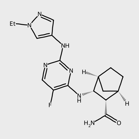 CCn1cc(Nc2ncc(F)c(N[C@@H]3[C@H]4CC[C@H](C4)[C@@H]3C(N)=O)n2)cn1